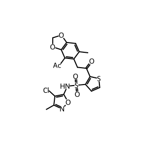 CC(=O)c1c(CC(=O)c2sccc2S(=O)(=O)Nc2onc(C)c2Cl)c(C)cc2c1OCO2